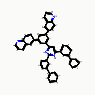 c1ccc(-c2cccc(-c3cc(-c4cc(-c5ccc6ncccc6c5)cc(-c5ccc6ncccc6c5)c4)nc(-c4cccc(-c5ccccc5)c4)n3)c2)cc1